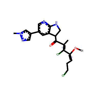 CCOC(=C/CCCl)/C(Cl)=C(\C)C(=O)C1CNc2ncc(-c3cnn(C)c3)cc21